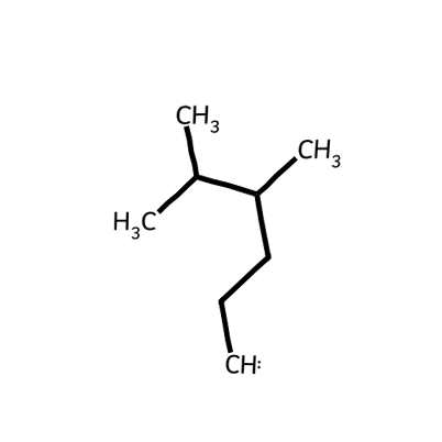 [CH]CCC(C)C(C)C